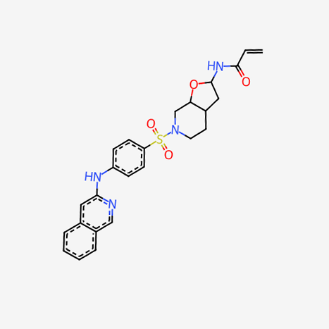 C=CC(=O)NC1CC2CCN(S(=O)(=O)c3ccc(Nc4cc5ccccc5cn4)cc3)CC2O1